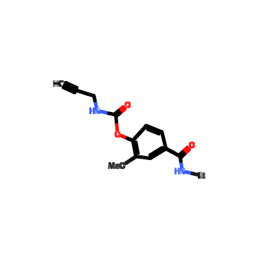 C#CCNC(=O)Oc1ccc(C(=O)NCC)cc1OC